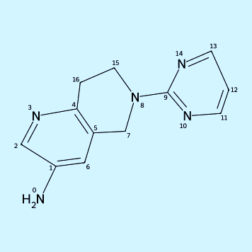 Nc1cnc2c(c1)CN(c1ncccn1)CC2